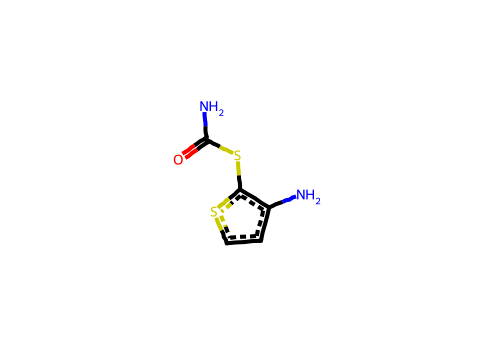 NC(=O)Sc1sccc1N